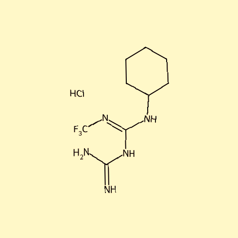 Cl.N=C(N)NC(=NC(F)(F)F)NC1CCCCC1